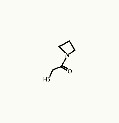 O=C(CS)N1CCC1